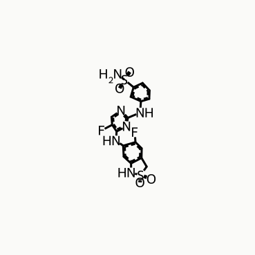 NS(=O)(=O)c1cccc(Nc2ncc(F)c(Nc3cc4c(cc3F)CS(=O)(=O)N4)n2)c1